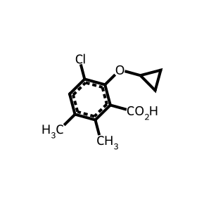 Cc1cc(Cl)c(OC2CC2)c(C(=O)O)c1C